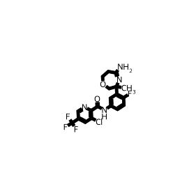 CC1(c2cc(NC(=O)c3ncc(C(F)(F)F)cc3Cl)ccc2F)COCCC(N)=N1